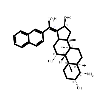 CC(=O)O[C@H]1C[C@@]2(C)C(C[C@@H](O)[C@H]3[C@@]4(C)CC[C@@H](O)[C@@H](N)[C@@H]4CC[C@@]32C)/C1=C(/C(=O)O)c1ccc2ccccc2c1